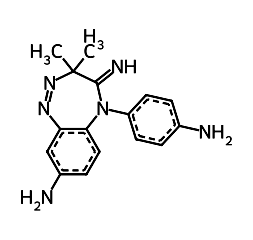 CC1(C)N=Nc2cc(N)ccc2N(c2ccc(N)cc2)C1=N